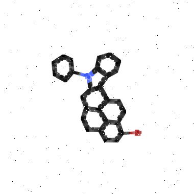 Brc1ccc2ccc3cc4c(c5ccc1c2c35)c1ccccc1n4-c1ccccc1